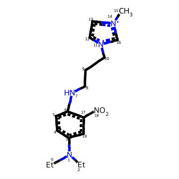 CCN(CC)c1ccc(NCCCn2cc[n+](C)c2)c([N+](=O)[O-])c1